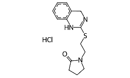 Cl.O=C1CCCN1CCSC1=NCc2ccccc2N1